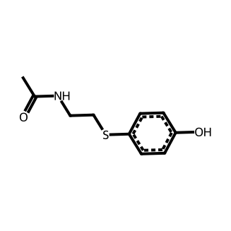 CC(=O)NCCSc1ccc(O)cc1